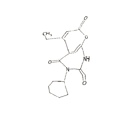 CCc1cc(=O)oc2[nH]c(=O)n(C3CCCC3)c(=O)c12